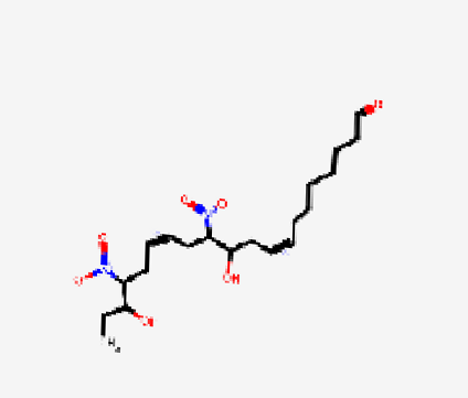 CCC(O)C(C/C=C\CC(C(O)C/C=C\CCCCCC[C]=O)[N+](=O)[O-])[N+](=O)[O-]